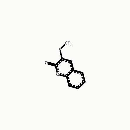 O=c1oc2ccccc2cc1SC(F)(F)F